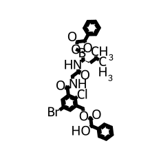 CC(C)C[C@H](NC(=O)CNC(=O)c1cc(Br)cc(COC(=O)C(O)c2ccccc2)c1Cl)B1OC(=O)C(c2ccccc2)O1